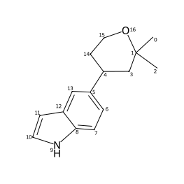 CC1(C)CC(c2ccc3[nH]ccc3c2)CCO1